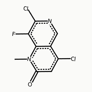 Cn1c(=O)cc(Cl)c2cnc(Cl)c(F)c21